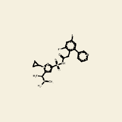 CC(C)c1cc(F)cc(-c2cccnc2)c1CC(=O)NS(=O)(=O)c1cc(C(C)N(C)C)n(C2CC2)n1